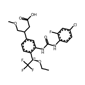 CCO[C@H](c1ccc(C(COC)CC(=O)O)cc1NC(=O)Nc1ccc(Cl)cc1F)C(F)(F)F